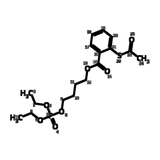 CCOP(=O)(OCC)OCCCCOC(=O)c1ccccc1SC(C)=O